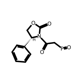 O=PCC(=O)N1C(=O)OC[C@H]1c1ccccc1